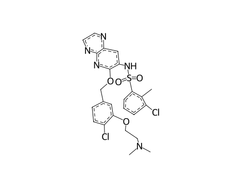 Cc1c(Cl)cccc1S(=O)(=O)Nc1cc2nccnc2nc1OCc1ccc(Cl)c(OCCN(C)C)c1